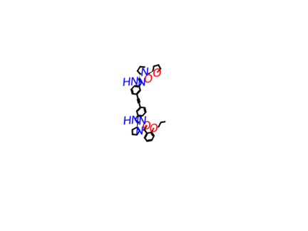 CCCOc1ccccc1C(=O)N1CCC[C@H]1c1nc2ccc(C#Cc3ccc4[nH]c([C@@H]5CCCN5C(=O)[C@H]5CCCO5)nc4c3)cc2[nH]1